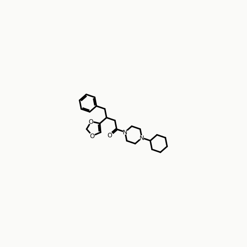 O=C(CC(Cc1ccccc1)C1=COCO1)N1CCN(C2CCCCC2)CC1